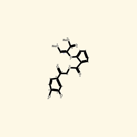 CO/C=C(/Oc1ccccc1C(=O)OCC(=O)c1ccc(Cl)c(Cl)c1)C(=O)OC